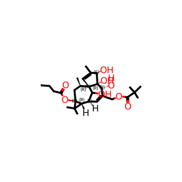 CCCC(=O)O[C@@]12C[C@@H](C)[C@]34C=C(C)[C@H](O)[C@@]3(O)[C@H](O)C(COC(=O)C(C)(C)C)=C[C@H](C4O)[C@@H]1C2(C)C